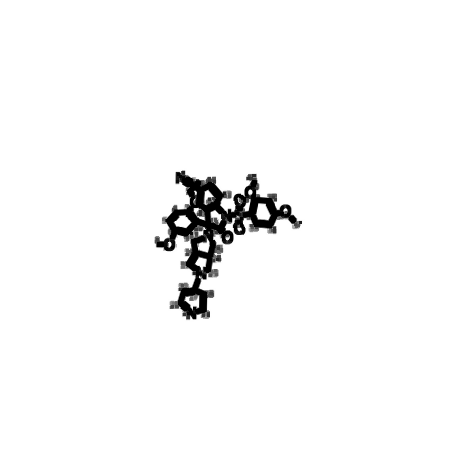 CCOc1ccc(OC)cc1C1(N2CC3=CN(c4ccncc4)CC3C2)C(=O)N(S(=O)(=O)c2ccc(OC)cc2OC)c2ccc(C#N)cc21